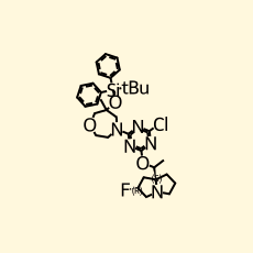 CC(Oc1nc(Cl)nc(N2CCOCC(C)(O[Si](c3ccccc3)(c3ccccc3)C(C)(C)C)C2)n1)[C@@]12CCCN1C[C@H](F)C2